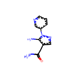 NC(=O)c1cnn(-c2cccnc2)c1N